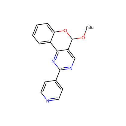 CCCCOC1Oc2ccccc2-c2nc(-c3ccncc3)ncc21